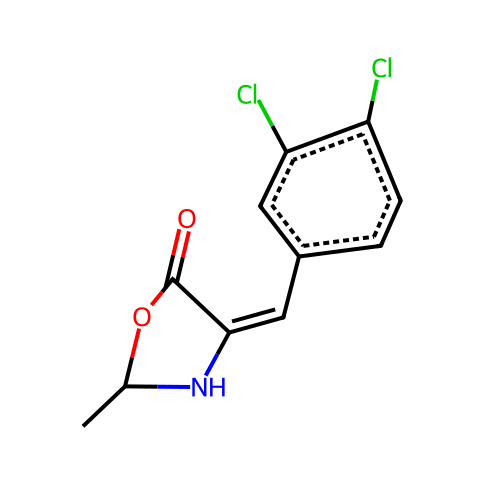 CC1N/C(=C/c2ccc(Cl)c(Cl)c2)C(=O)O1